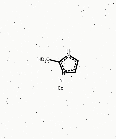 O=C(O)c1ncc[nH]1.[Co].[N]